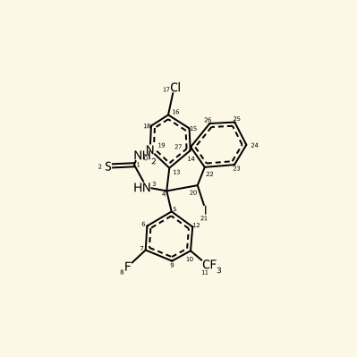 NC(=S)NC(c1cc(F)cc(C(F)(F)F)c1)(c1ccc(Cl)cn1)C(I)c1ccccc1